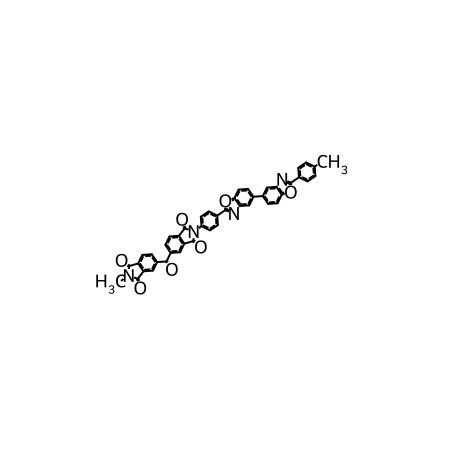 Cc1ccc(-c2nc3cc(-c4ccc5oc(-c6ccc(N7C(=O)c8ccc(C(=O)c9ccc%10c(c9)C(=O)N(C)C%10=O)cc8C7=O)cc6)nc5c4)ccc3o2)cc1